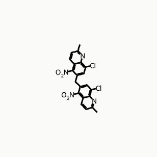 Cc1ccc2c([N+](=O)[O-])c(Cc3cc(Cl)c4nc(C)ccc4c3[N+](=O)[O-])cc(Cl)c2n1